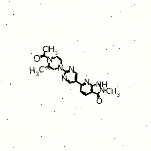 CC(=O)N1CCN(c2ncc(-c3ccc4c(=O)n(C)[nH]c4n3)cn2)C[C@H]1C